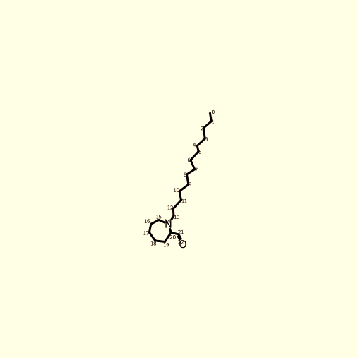 CCCCCCCCCCCCCCN1CCCCCC1C=O